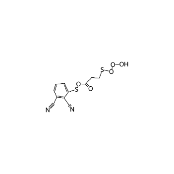 N#Cc1cccc(SOC(=O)CCSOOO)c1C#N